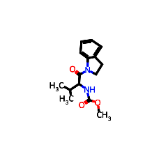 COC(=O)NC(C(=O)N1CCc2ccccc21)C(C)C